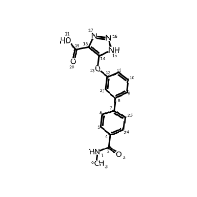 CNC(=O)c1ccc(-c2cccc(Oc3[nH]nnc3C(=O)O)c2)cc1